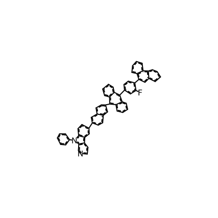 Fc1cc(-c2c3ccccc3c(-c3ccc4cc(-c5ccc6c(c5)c5ccncc5n6-c5ccccc5)ccc4c3)c3ccccc23)ccc1-c1cc2ccccc2c2ccccc12